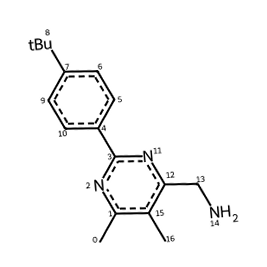 Cc1nc(-c2ccc(C(C)(C)C)cc2)nc(CN)c1C